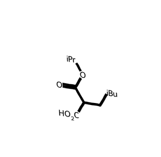 CCC(C)CC(C(=O)O)C(=O)OC(C)C